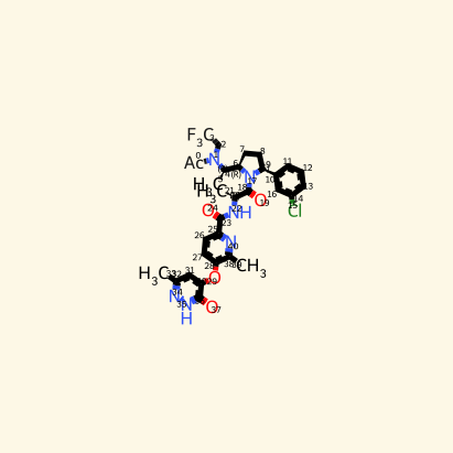 CC(=O)N(CC(F)(F)F)[C@@H](C)[C@H]1CC[C@@H](c2cccc(Cl)c2)N1C(=O)[C@@H](C)NC(=O)c1ccc(Oc2cc(C)n[nH]c2=O)c(C)n1